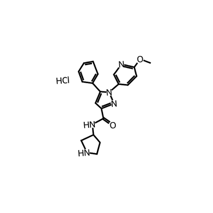 COc1ccc(-n2nc(C(=O)NC3CCNC3)cc2-c2ccccc2)cn1.Cl